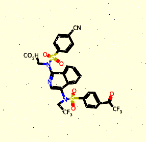 N#Cc1ccc(S(=O)(=O)N(CC(=O)O)c2ncc(N(CC(F)(F)F)S(=O)(=O)c3ccc(C(=O)C(F)(F)F)cc3)c3ccccc23)cc1